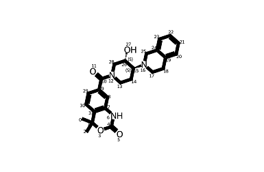 CC1(C)OC(=O)Nc2cc(C(=O)N3CC[C@H](N4CCc5ccccc5C4)[C@@H](O)C3)ccc21